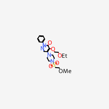 CCOCCOc1c(N2CCN(S(=O)(=O)CCOC)CC2)cnn(-c2ccccc2)c1=O